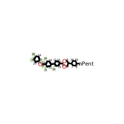 CCCCCC1CCC(C2COC(c3ccc(-c4cc(F)c(C(F)(F)Oc5ccc(F)c(F)c5)c(F)c4)c(F)c3)OC2)CC1